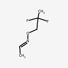 C/C=N/OCC(C)(F)F